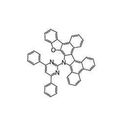 c1ccc(-c2cc(-c3ccccc3)nc(-n3c4c5ccccc5c5ccccc5c4c4c5ccccc5c5c6ccccc6oc5c43)n2)cc1